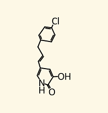 O=c1[nH]cc(C=CCc2ccc(Cl)cc2)cc1O